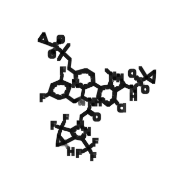 Cn1nc(NS(=O)(=O)C2(C)CC2)c2c(Cl)ccc(-c3ccc(CCC(C)(C)S(=O)(=O)C4CC4)nc3[C@H](Cc3cc(F)cc(F)c3)NC(=O)Cn3nc(C(F)(F)F)c4c3C(F)(F)C3C[C@H]43)c21